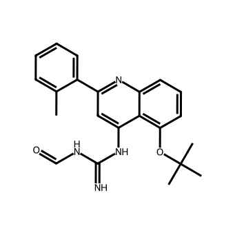 Cc1ccccc1-c1cc(NC(=N)NC=O)c2c(OC(C)(C)C)cccc2n1